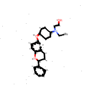 CCC(C)CN(CCO)C1CCC(Oc2ccc3c(c2)CCC(c2ccccc2)O3)CC1